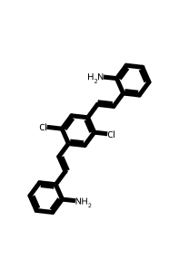 Nc1ccccc1/C=C/c1cc(Cl)c(/C=C/c2ccccc2N)cc1Cl